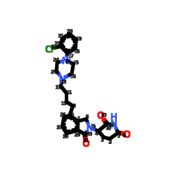 O=C1CCC(N2Cc3c(CCCCN4CCN(c5ccccc5Cl)CC4)cccc3C2=O)C(=O)N1